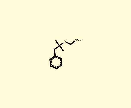 COCOC(C)(C)Cc1ccccc1